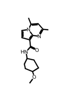 COC1CCC(NC(=O)c2ccn3c(C)cc(C)nc23)CC1